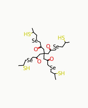 CC(S)C[Se]CC(=O)CC(CC(=O)C[Se]CC(C)S)(CC(=O)C[Se]CC(C)S)CC(=O)C[Se]CC(C)S